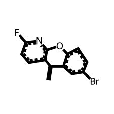 C=C1c2cc(Br)ccc2Oc2nc(F)ccc21